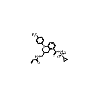 C=CC(=O)NCC1Cc2c(C(=O)NS(=O)(=O)C3CC3)cccc2N(c2ccc(C(F)(F)F)cc2)C1